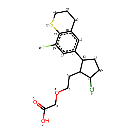 O=C(O)COCCC1C(Cl)CCC1c1cc(F)c2c(c1)CCCS2